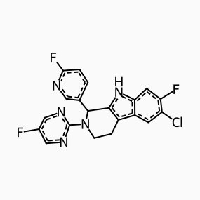 Fc1cnc(N2CCc3c([nH]c4cc(F)c(Cl)cc34)C2c2ccc(F)nc2)nc1